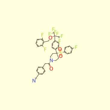 N#Cc1ccc(CC(=O)N2CCC(c3ccc(C(OCc4c(F)cccc4F)(C(F)(F)F)C(F)(F)F)cc3)(S(=O)(=O)c3ccc(F)cc3)CC2)cc1